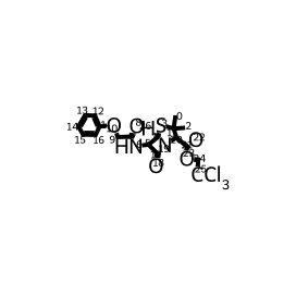 CC1(C)S[C@@H]2C(NC(=O)COc3ccccc3)C(=O)N2C1C(=O)OCC(Cl)(Cl)Cl